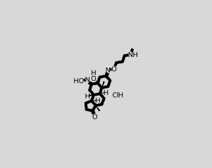 CNCCCON=C1CC[C@]2(C)[C@H]3CC[C@]4(C)C(=O)CC[C@H]4[C@@H]3C/C(=N\O)[C@@]2(O)C1.Cl